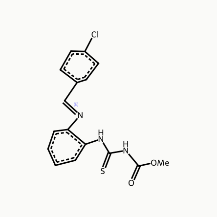 COC(=O)NC(=S)Nc1ccccc1/N=C/c1ccc(Cl)cc1